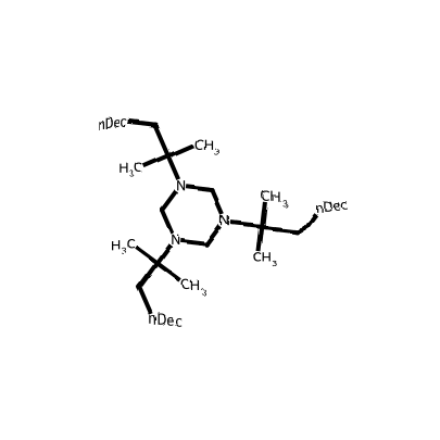 CCCCCCCCCCCC(C)(C)N1CN(C(C)(C)CCCCCCCCCCC)CN(C(C)(C)CCCCCCCCCCC)C1